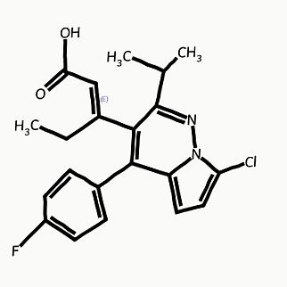 CC/C(=C\C(=O)O)c1c(C(C)C)nn2c(Cl)ccc2c1-c1ccc(F)cc1